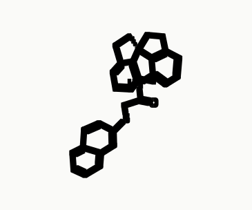 Cc1cccc2c1[C@@]1(CC2)CCc2cccc(NC(=O)CSc3ccc4ccccc4c3)c21